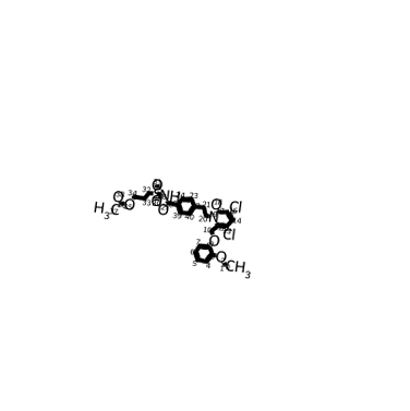 CCOc1ccccc1OCc1c(Cl)cc(Cl)c(=O)n1CCc1ccc(C(=O)NS(=O)(=O)CCCOC(C)=O)cc1